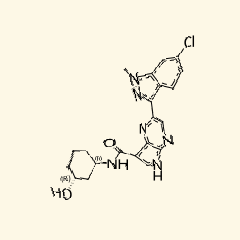 Cn1nc(-c2cnc3[nH]cc(C(=O)N[C@@H]4CCC[C@@H](O)C4)c3n2)c2ccc(Cl)cc21